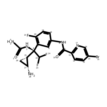 NC(=O)N[C@@](c1cc(NC(=O)c2ccc(Br)cn2)ccc1F)(C(F)F)[C@H]1C[C@H]1N